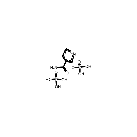 NC(=O)c1cccnc1.O=P(O)(O)O.O=P(O)(O)O